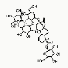 C=C1C[C@@]23CCC4[C@@](C)(CCC[C@@]4(C)C(=O)OC4OC(CO)C(O)C(O)C4O)C2CC[C@@]1(OC1OC(CO)C(O)C(OC2OC(CO)C(O)C(O)C2O)C1OC1OC(CO)C(O)C(O)C1O)C3